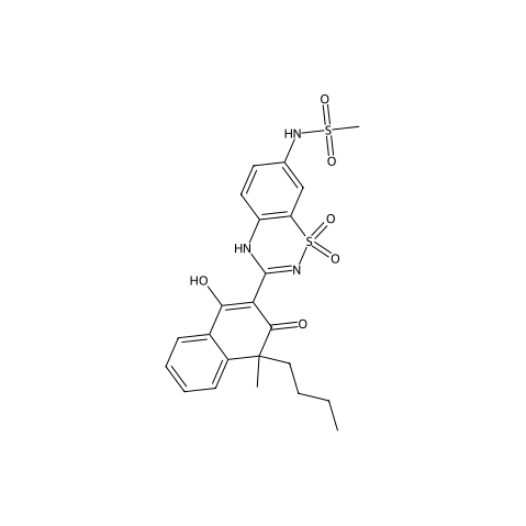 CCCCC1(C)C(=O)C(C2=NS(=O)(=O)c3cc(NS(C)(=O)=O)ccc3N2)=C(O)c2ccccc21